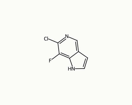 Fc1c(Cl)ncc2cc[nH]c12